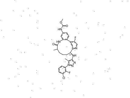 COC(=O)Nc1ccc2c(c1)NC(=O)C(C)CCC[C@H](Nc1nnn(-c3cccc(Cl)c3F)c1C)c1cc-2c(F)cn1